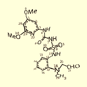 COc1cc(NC(=O)NS(=O)(=O)Nc2ccccc2N(C)CC=O)nc(OC)c1